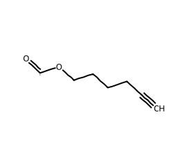 C#CCCCCO[C]=O